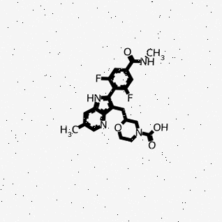 CNC(=O)c1cc(F)c(-c2[nH]c3cc(C)cnc3c2CC2CN(C(=O)O)CCO2)c(F)c1